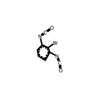 O=C=Nc1cccc(N=C=O)c1Br